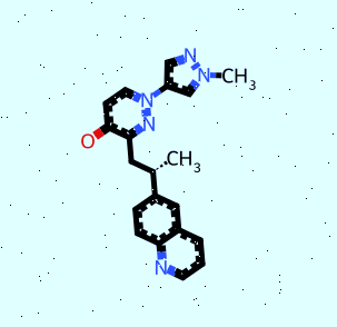 C[C@@H](Cc1nn(-c2cnn(C)c2)ccc1=O)c1ccc2ncccc2c1